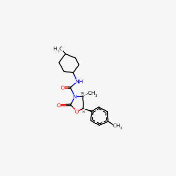 Cc1ccc([C@H]2OC(=O)N(C(=O)NC3CCC(C)CC3)[C@@H]2C)cc1